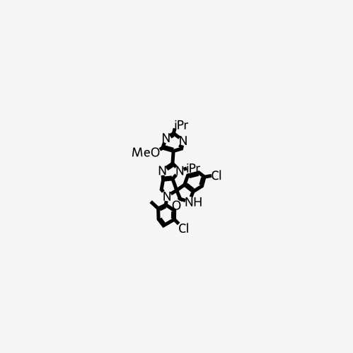 COc1nc(C(C)C)ncc1-c1nc2c(n1C(C)C)C1(C(=O)Nc3cc(Cl)ccc31)N(c1cc(Cl)ccc1C)C2